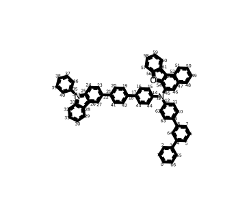 c1ccc(-c2cccc(-c3ccc(N(c4ccc(-c5ccc(-c6ccc7c(c6)c6ccccc6n7-c6ccccc6)cc5)cc4)c4cc5ccccc5c5c4oc4ccccc45)cc3)c2)cc1